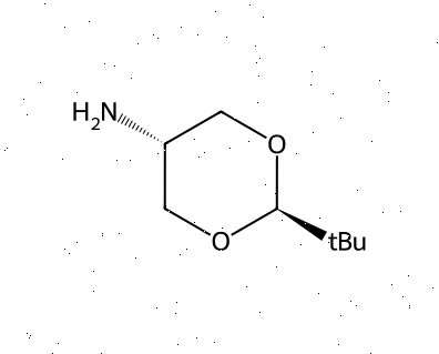 CC(C)(C)[C@H]1OC[C@H](N)CO1